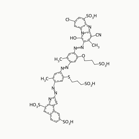 Cc1cc(N=Nc2cc(OCCCS(=O)(=O)O)c(N=Nc3c(C)c(C#N)c4nc5c(S(=O)(=O)O)cc(Cl)cc5n4c3O)cc2C)c(SCCCS(=O)(=O)O)cc1N=Nc1nc2c(S(=O)(=O)O)cc3ccc(S(=O)(=O)O)cc3c2s1